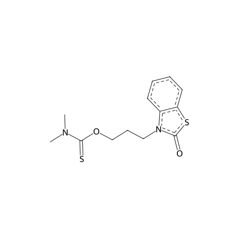 CN(C)C(=S)OCCCn1c(=O)sc2ccccc21